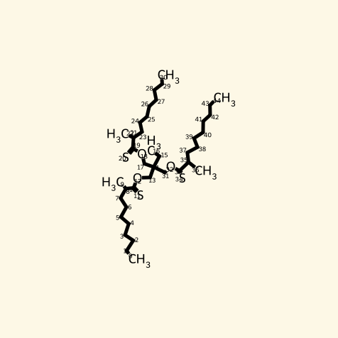 CCCCCCCCC(C)C(=S)OCC(CC)(COC(=S)C(C)CCCCCCCC)COC(=S)C(C)CCCCCCCC